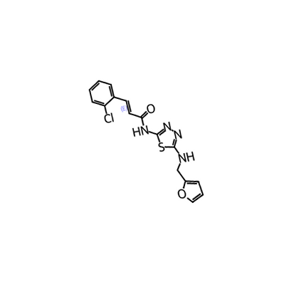 O=C(/C=C/c1ccccc1Cl)Nc1nnc(NCc2ccco2)s1